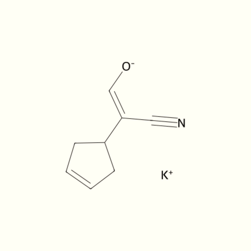 N#CC(=C[O-])C1CC=CC1.[K+]